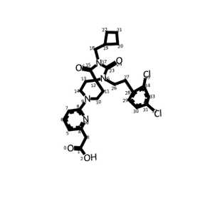 O=C(O)Cc1cccc(N2CCC3(CC2)C(=O)N(CC2CCC2)C(=O)N3CCc2ccc(Cl)cc2Cl)n1